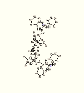 CCO[Si](CCCN/C(=N\C1CCCCC1)NC1CCCCC1)(OCC)OC(C)(C)[Si](C)(C)OC(C)(C)[Si](CCCN/C(=N\C1CCCCC1)NC1CCCCC1)(OCC)OCC